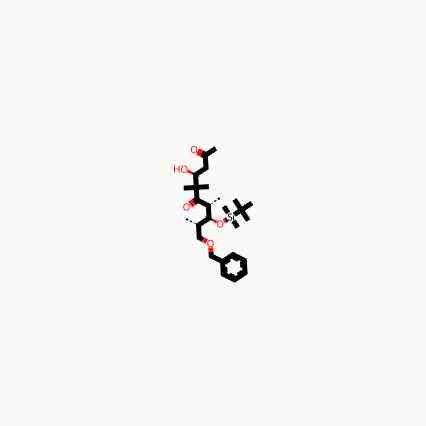 CC(=O)C[C@H](O)C(C)(C)C(=O)[C@H](C)[C@@H](O[Si](C)(C)C(C)(C)C)[C@@H](C)COCc1ccccc1